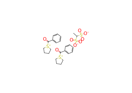 CC(S(=O)(=O)[O-])S(=O)(=O)[O-].O=C(c1ccccc1)[S+]1CCCC1.O=C(c1ccccc1)[S+]1CCCC1